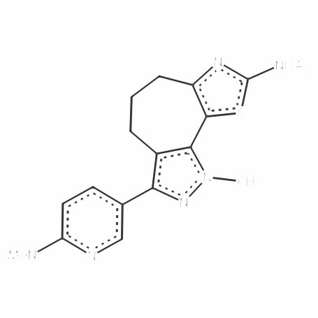 CNc1ccc(-c2nn(C)c3c2CCCc2nc(NC(C)=O)sc2-3)cn1